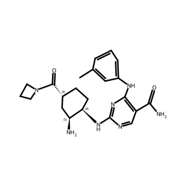 Cc1cccc(Nc2nc(N[C@@H]3CC[C@@H](C(=O)N4CCC4)C[C@@H]3N)ncc2C(N)=O)c1